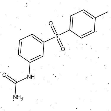 Cc1ccc(S(=O)(=O)c2cccc(NC(N)=O)c2)cc1